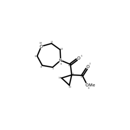 COC(=O)C1(C(=O)N2CCCOCC2)CC1